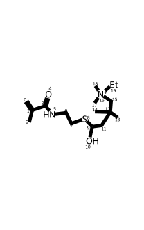 C=C(C)C(=O)NCCSC(O)CC(C)(C)C[N+](C)(C)CC